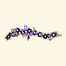 C=CC(=O)Nc1cc(Nc2nc(-c3ccnc(N4CCn5c(cc6c5CC(C)(C)C6)C4=O)c3CO)cn(C)c2=O)ccc1N1CCN(C2CCN(c3ccc4c(c3)CN(C3CCC(C)(O)CC3)C4=O)CC2)C[C@@H]1C